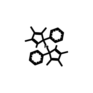 CC1=C(C)[C]([Fe][C]2(c3ccccc3)C(C)=C(C)C(C)=C2C)(c2ccccc2)C(C)=C1C